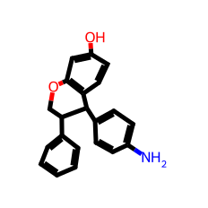 Nc1ccc(C2c3ccc(O)cc3OCC2c2ccccc2)cc1